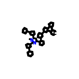 CN1C(c2cccc(-c3ccccc3)c2)CC(c2ccccc2-c2cccc(-c3ccc4c5ccccc5c5ccccc5c4c3)c2)=NC1c1cccc(-c2ccccc2)c1